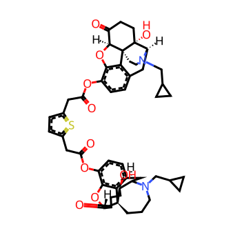 O=C(Cc1ccc(CC(=O)Oc2ccc3c4c2O[C@H]2C(=O)CC[C@@]5(O)[C@@H](C3)N(CC3CC3)CC[C@]425)s1)Oc1ccc2c3c1O[C@H]1C(=O)CC[C@@]4(O)[C@@H](C2)N(CC2CC2)CCC[C@]314